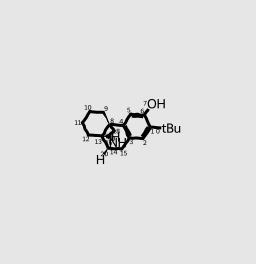 CC(C)(C)c1cc2c(cc1O)[C@@]13CCCC[C@H]1[C@@H](C2)NCC3